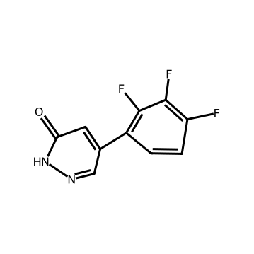 O=c1cc(-c2ccc(F)c(F)c2F)cn[nH]1